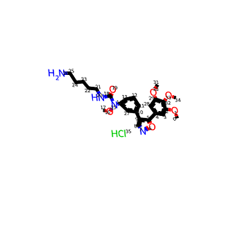 COc1cc(-c2oncc2-c2cccc(N(OC)C(=O)NCCCCCN)c2)cc(OC)c1OC.Cl